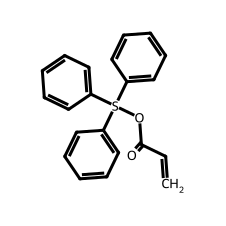 C=CC(=O)OS(c1ccccc1)(c1ccccc1)c1ccccc1